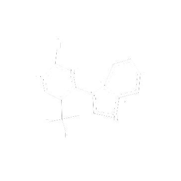 FC(F)(F)c1cnc(Cl)nc1-n1cnc2ccccc21